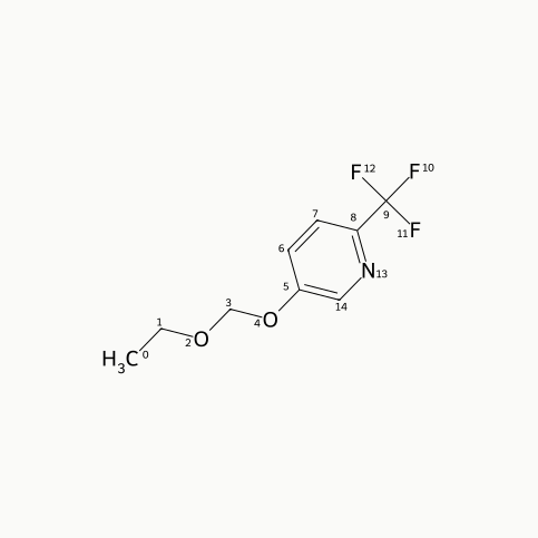 CCOCOc1ccc(C(F)(F)F)nc1